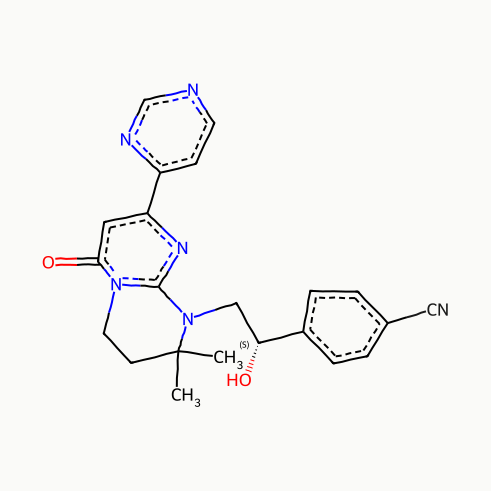 CC1(C)CCn2c(nc(-c3ccncn3)cc2=O)N1C[C@@H](O)c1ccc(C#N)cc1